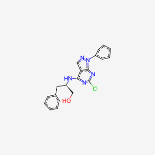 OC[C@@H](Cc1ccccc1)Nc1nc(Cl)nc2c1cnn2-c1ccccc1